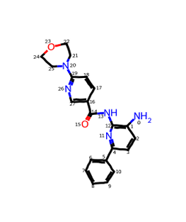 Nc1ccc(-c2ccccc2)nc1NC(=O)c1ccc(N2CCOCC2)nc1